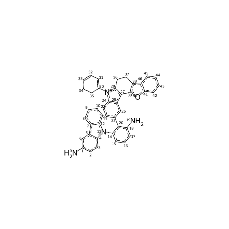 Nc1ccc2c(c1)c1ccccc1n2-c1cccc(N)c1-c1ccc2c(c1)c1c(n2C2=CC=CCC2)CCc2c-1oc1ccccc21